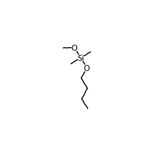 CCCCO[Si](C)(C)OC